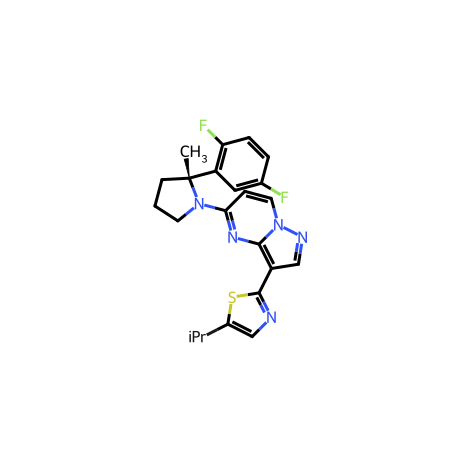 CC(C)c1cnc(-c2cnn3ccc(N4CCC[C@]4(C)c4cc(F)ccc4F)nc23)s1